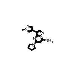 Cn1cc(-c2cnn3c(N)cc(N4CCCC4)nc23)cn1